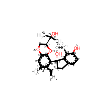 C=C(C)[C@H]1Cc2ccc(O)c(C=O)c2[C@]1(O)c1cc(C)cc2c1O[C@H](C(C)(C)O)CO2